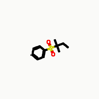 CCC(C)(C)S(=O)(=O)c1cc[c]cc1